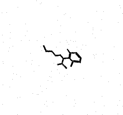 [CH2]C(C)C(CCCCC)c1c(C)cccc1C